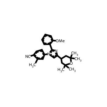 COc1ccccc1-c1nc(C2CC(C)(C)OC(C)(C)C2)cn1-c1ccc(C#N)c(C)c1